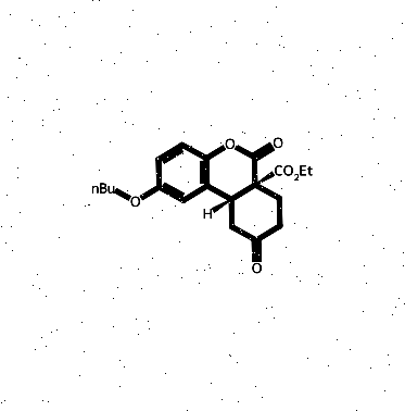 CCCCOc1ccc2c(c1)[C@H]1CC(=O)CC[C@@]1(C(=O)OCC)C(=O)O2